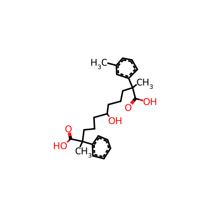 Cc1cccc(C(C)(CCCC(O)CCCC(C)(C(=O)O)c2ccccc2)C(=O)O)c1